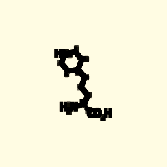 N[C@H](CCCC1CCNCC1)C(=O)O